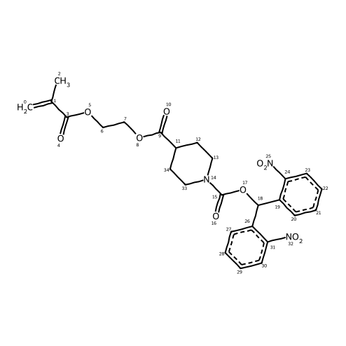 C=C(C)C(=O)OCCOC(=O)C1CCN(C(=O)OC(c2ccccc2[N+](=O)[O-])c2ccccc2[N+](=O)[O-])CC1